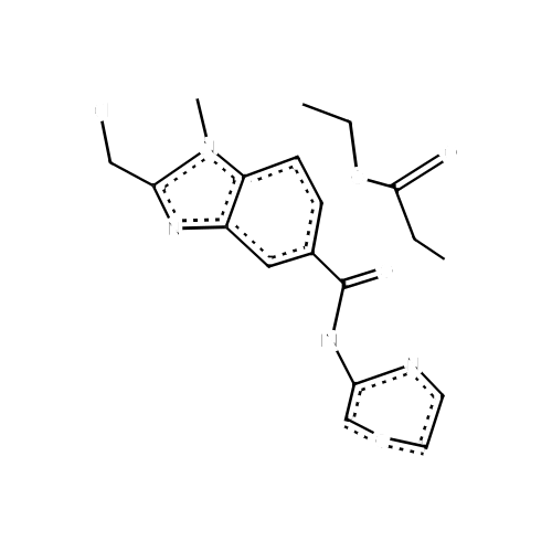 CCOC(=O)CC.Cn1c(CCl)nc2cc(C(=O)Nc3ccccn3)ccc21